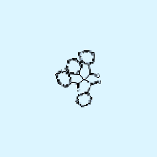 O=C(c1ccccc1)C(C(=O)c1ccccc1)(C(=O)c1ccccc1)c1ccccc1